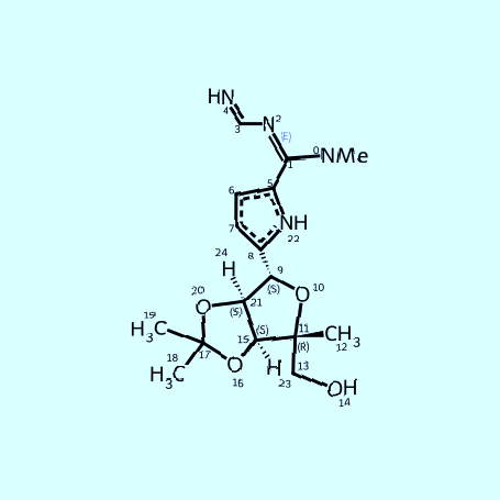 CN/C(=N/C=N)c1ccc([C@@H]2O[C@](C)(CO)[C@H]3OC(C)(C)O[C@@H]23)[nH]1